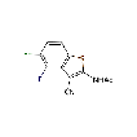 CC(=O)Nc1sc2ccc(F)c(I)c2c1C#N